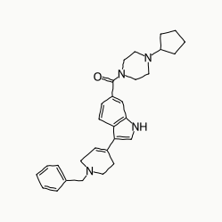 O=C(c1ccc2c(C3=CCN(Cc4ccccc4)CC3)c[nH]c2c1)N1CCN(C2CCCC2)CC1